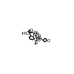 COC1=C(n2c(-c3ccco3)nnc2N(CC[Si](C)(C)C)S(=O)(=O)CCc2ccc(Cl)cc2)C(CO)CC=C1